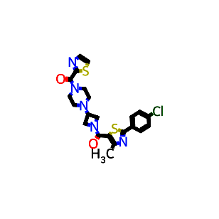 Cc1nc(-c2ccc(Cl)cc2)sc1C(=O)N1CC(N2CCN(C(=O)c3nccs3)CC2)C1